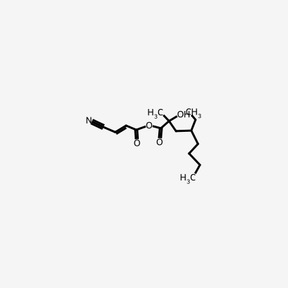 CCCCC(CC)CC(C)(O)C(=O)OC(=O)C=CC#N